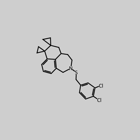 Clc1ccc(CSN2CCC3CC4(CC4)C4(CC4)c4cccc(c43)C2)cc1Cl